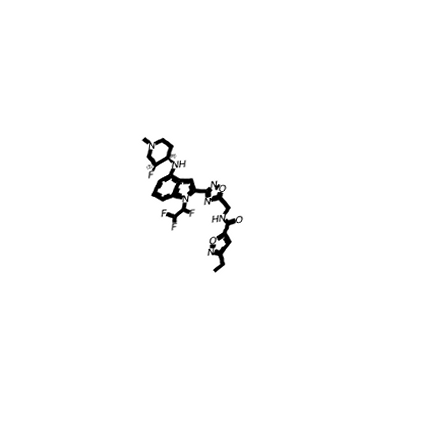 CCc1cc(C(=O)NCc2nc(-c3cc4c(N[C@@H]5CCN(C)C[C@@H]5F)cccc4n3C(F)C(F)F)no2)on1